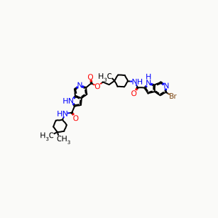 CC1(C)CCC(NC(=O)c2cc3cc(C(=O)OCCC4(C)CCC(NC(=O)c5cc6cc(Br)ncc6[nH]5)CC4)ncc3[nH]2)CC1